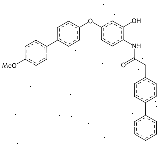 COc1ccc(-c2ccc(Oc3ccc(NC(=O)Cc4ccc(-c5ccccc5)cc4)c(O)c3)cc2)cc1